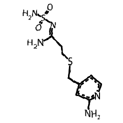 N/C(CCSCc1ccnc(N)c1)=N\S(N)(=O)=O